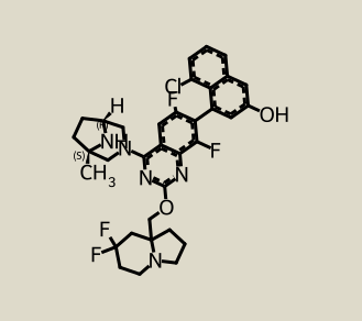 C[C@]12CC[C@H](CN(c3nc(OCC45CCCN4CCC(F)(F)C5)nc4c(F)c(-c5cc(O)cc6cccc(Cl)c56)c(F)cc34)C1)N2